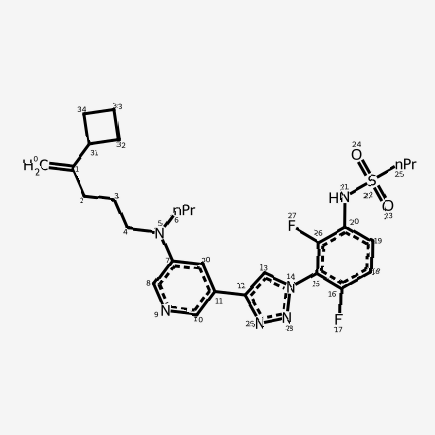 C=C(CCCN(CCC)c1cncc(-c2cn(-c3c(F)ccc(NS(=O)(=O)CCC)c3F)nn2)c1)C1CCC1